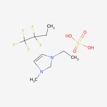 CCC(F)(F)C(F)(F)F.CCN1C=CN(C)C1.O=S(=O)(O)O